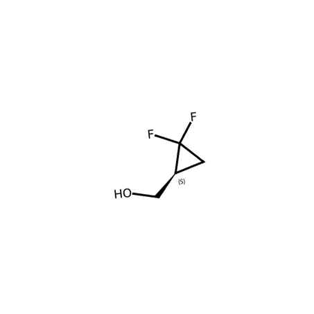 OC[C@@H]1CC1(F)F